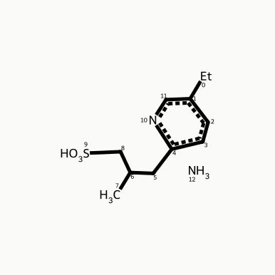 CCc1ccc(CC(C)CS(=O)(=O)O)nc1.N